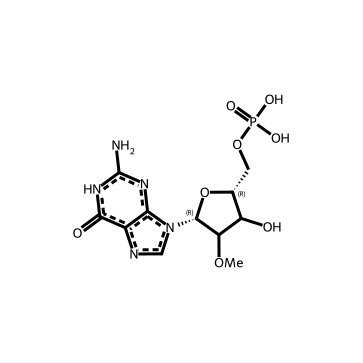 COC1C(O)[C@@H](COP(=O)(O)O)O[C@H]1n1cnc2c(=O)[nH]c(N)nc21